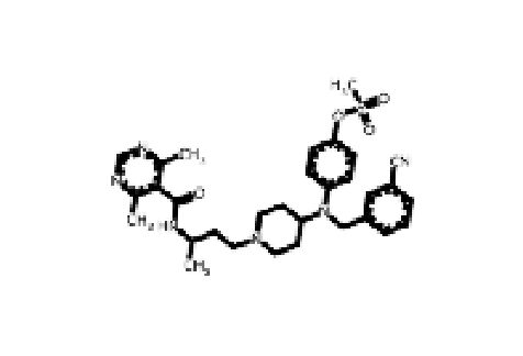 Cc1ncnc(C)c1C(=O)NC(C)CCN1CCC(N(Cc2cccc(C#N)c2)c2ccc(OS(C)(=O)=O)cc2)CC1